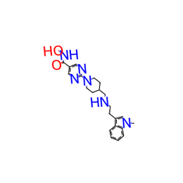 Cn1cc(CCNCC2CCN(c3ncc(C(=O)NO)cn3)CC2)c2ccccc21